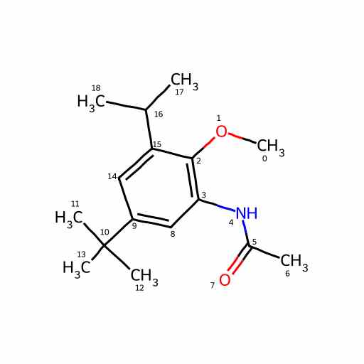 COc1c(NC(C)=O)cc(C(C)(C)C)cc1C(C)C